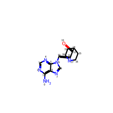 Nc1ncnc2c1ncn2C=C1C(=O)C2CCN1CC2